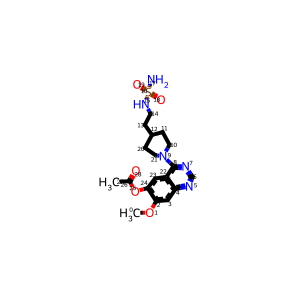 COc1cc2ncnc(N3CCC(CCNS(N)(=O)=O)CC3)c2cc1OC(C)=O